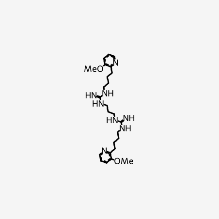 COc1cccnc1CCCCNC(=N)NCCCNC(=N)NCCCCc1ncccc1OC